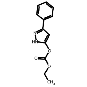 CCOC(=O)Oc1cc(-c2ccccc2)n[nH]1